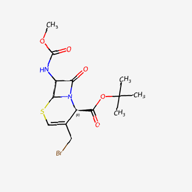 COC(=O)NC1C(=O)N2C1SC=C(CBr)[C@@H]2C(=O)OC(C)(C)C